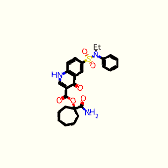 CCN(c1ccccc1)S(=O)(=O)c1ccc2[nH]cc(C(=O)OC3(C(N)=O)CCCCCC3)c(=O)c2c1